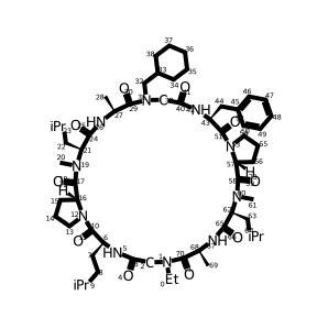 CCN1CC(=O)N[C@@H](CCC(C)C)C(=O)N2CCC[C@@H]2C(=O)N(C)[C@@H](CC(C)C)C(=O)N[C@@H](C)C(=O)N(CC2CCCCC2)CC(=O)N[C@@H](Cc2ccccc2)C(=O)N2CCC[C@@H]2C(=O)N(C)[C@@H](CC(C)C)C(=O)N[C@@H](C)C1=O